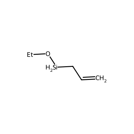 C=CC[SiH2]OCC